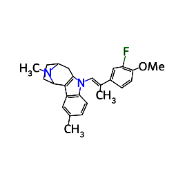 COc1ccc(/C(C)=C/n2c3c(c4cc(C)ccc42)C2CCC(C3)N2C)cc1F